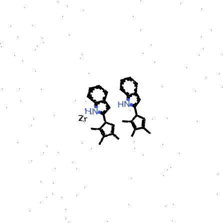 CC1=CC(c2cc3ccccc3[nH]2)C(C)=C1C.CC1=CC(c2cc3ccccc3[nH]2)C(C)=C1C.[Zr]